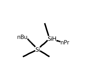 CCCC[Si](C)(C)[SiH](C)CCC